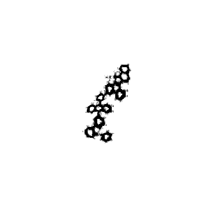 CC1(C)c2c(ccc3ccccc23)-c2c1c1ccc(-c3cccc(-c4c5ccccc5c(-c5ccc6c(c5)c5ccccc5n6-c5ccccc5)c5ccccc45)c3)cc1c1ccccc21